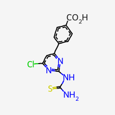 NC(=S)Nc1nc(Cl)cc(-c2ccc(C(=O)O)cc2)n1